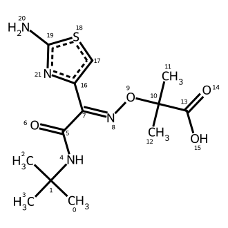 CC(C)(C)NC(=O)/C(=N/OC(C)(C)C(=O)O)c1csc(N)n1